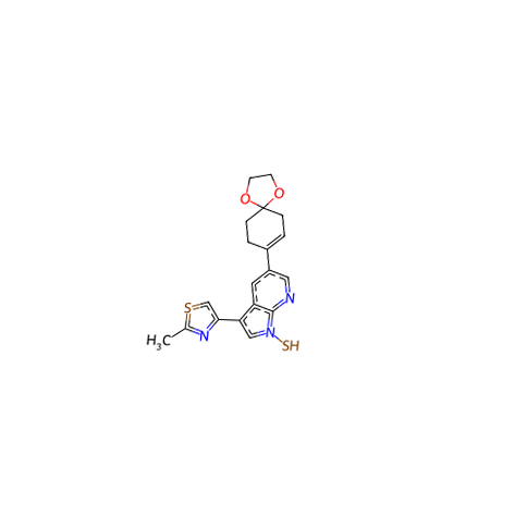 Cc1nc(-c2cn(S)c3ncc(C4=CCC5(CC4)OCCO5)cc23)cs1